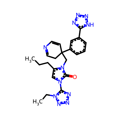 CCCc1cn(-c2nnnn2CC)c(=O)n1CC1(c2cccc(-c3nnn[nH]3)c2)C=CN=CC1